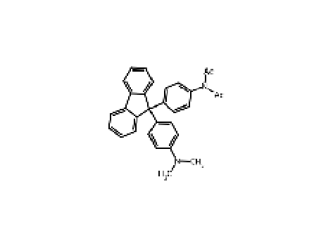 CC(=O)N(C(C)=O)c1ccc(C2(c3ccc(N(C)C)cc3)c3ccccc3-c3ccccc32)cc1